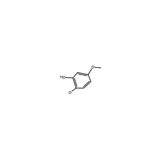 COc1ccc([O])c(O)c1